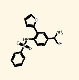 CCCC(N)c1ccc(NS(=O)(=O)c2ccccc2)c(-c2ccco2)c1